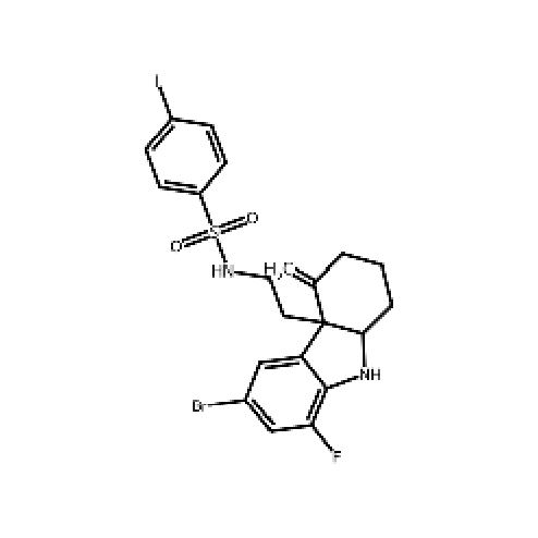 C=C1CCCC2Nc3c(F)cc(Br)cc3C12CCNS(=O)(=O)c1ccc(I)cc1